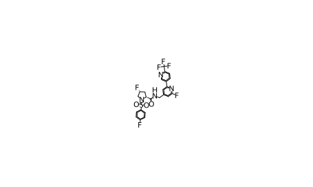 O=C(NCc1cc(F)nc(-c2ccc(C(F)(F)F)nc2)c1)[C@@H]1C[C@@H](F)CN1S(=O)(=O)c1ccc(F)cc1